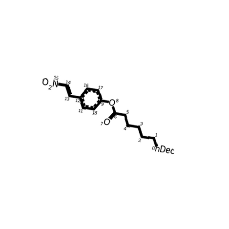 CCCCCCCCCCCCCCCC(=O)Oc1ccc(C=C[N+](=O)[O-])cc1